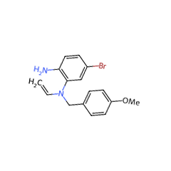 C=CN(Cc1ccc(OC)cc1)c1cc(Br)ccc1N